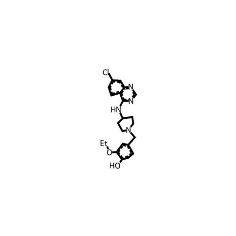 CCOc1cc(CN2CCC(Nc3ncnc4cc(Cl)ccc34)CC2)ccc1O